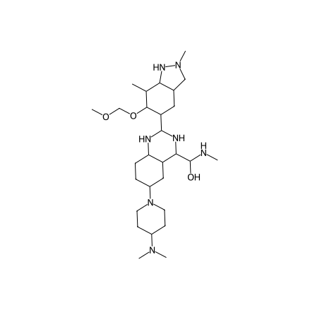 CNC(O)C1NC(C2CC3CN(C)NC3C(C)C2OCOC)NC2CCC(N3CCC(N(C)C)CC3)CC21